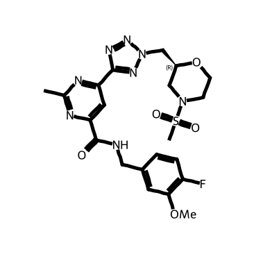 COc1cc(CNC(=O)c2cc(-c3nnn(C[C@@H]4CN(S(C)(=O)=O)CCO4)n3)nc(C)n2)ccc1F